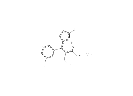 CCc1ccc2c(-c3cncc(C)c3)c(CO)c(COC)nn12